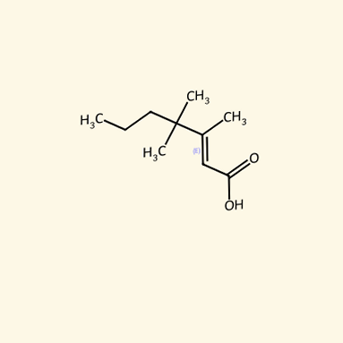 CCCC(C)(C)/C(C)=C/C(=O)O